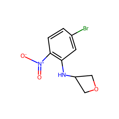 O=[N+]([O-])c1ccc(Br)cc1NC1COC1